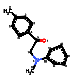 Cc1ccc(C(=O)CN(C)c2ccccc2)cc1